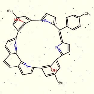 CC(C)(C)c1cc2c3nc(c(-c4ccc(C(F)(F)F)cc4)c4ccc([nH]4)c4cc(C(C)(C)C)cc(c4O)c4ccc5ccc6ccc(nc6c5n4)c(c1)c2O)C=C3